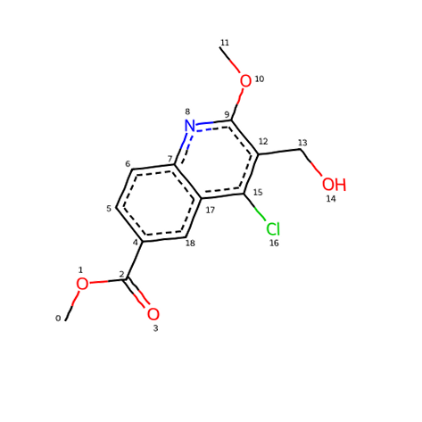 COC(=O)c1ccc2nc(OC)c(CO)c(Cl)c2c1